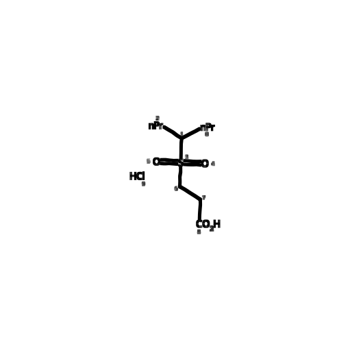 CCCC(CCC)S(=O)(=O)CCC(=O)O.Cl